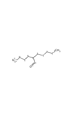 CCCCCC([C]=O)CCCC